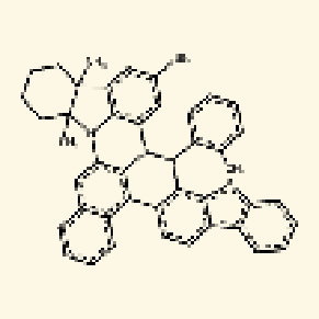 Cc1ccccc1N1B2c3cc(C(C)(C)C)cc4c3N(c3cc5ccccc5c(c32)-c2ccc3c(sc5ccccc53)c21)C1(C)CCCCC41C